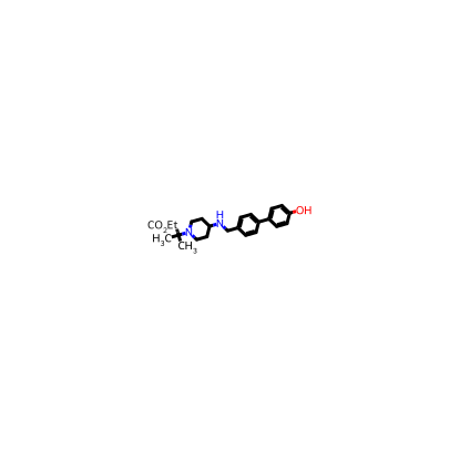 CCOC(=O)C(C)(C)N1CCC(NCc2ccc(-c3ccc(O)cc3)cc2)CC1